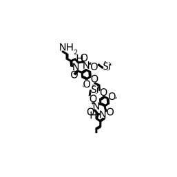 C/C=C/C1=CN2C(=O)c3cc(OC)c(OCCCOc4cc5c(cc4OC)C(=O)N4C=C(/C=C/CN)C[C@H]4C(=O)N5COCC[Si](C)(C)C)cc3N(COCC[Si](C)(C)C)C(=O)[C@@H]2C1